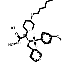 CCCCCO[C@H]1CC[C@H]([C@H](C(=O)NO)N(Cc2ccncc2)S(=O)(=O)c2ccc(OC)cc2)CC1.Cl